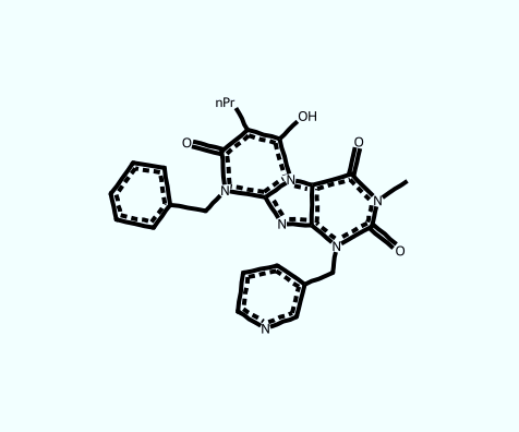 CCCc1c(O)n2c3c(=O)n(C)c(=O)n(Cc4cccnc4)c3nc2n(Cc2ccccc2)c1=O